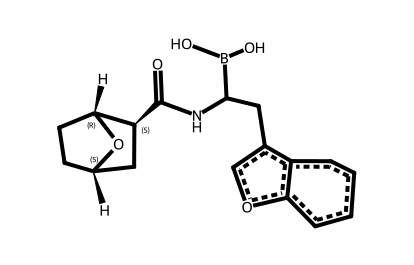 O=C(NC(Cc1coc2ccccc12)B(O)O)[C@H]1C[C@@H]2CC[C@H]1O2